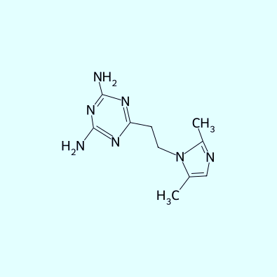 Cc1cnc(C)n1CCc1nc(N)nc(N)n1